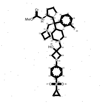 COC(=O)N[C@H]1CCC[C@@H]1[C@](CN1CCC1)(c1cccc(F)c1)C1CCN(CC2(O)CN(c3ccc(S(=O)(=O)C4CC4)cc3)C2)CC1